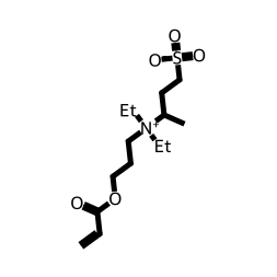 C=CC(=O)OCCC[N+](CC)(CC)C(C)CCS(=O)(=O)[O-]